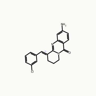 Nc1ccc2c(=O)n3c(nc2c1)/C(=C/c1cccc(Cl)c1)CCC3